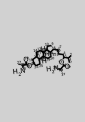 CC(C)C(CC[C@@H](C)[C@H]1CC[C@H]2[C@@H]3CC=C4C[C@@H](OC(=O)[C@H](C)N)CC[C@]4(C)[C@H]3CC[C@]12C)OC(=O)[C@H](C)N